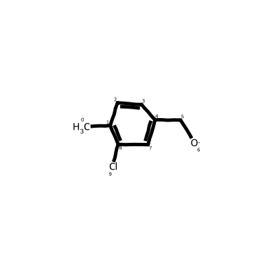 Cc1ccc(C[O])cc1Cl